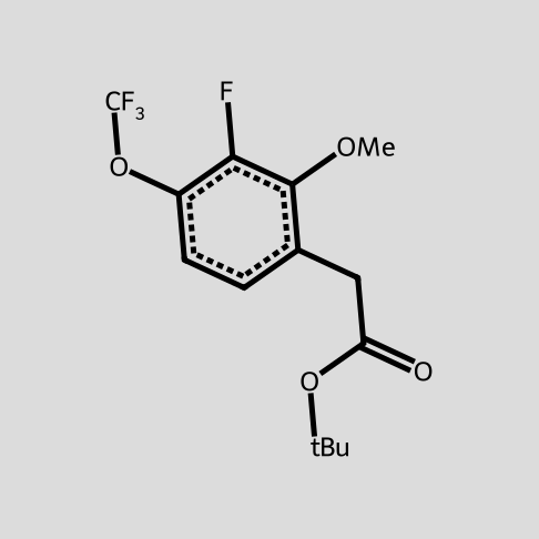 COc1c(CC(=O)OC(C)(C)C)ccc(OC(F)(F)F)c1F